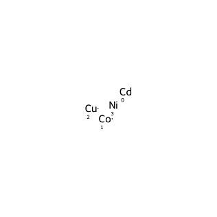 [Cd].[Co].[Cu].[Ni]